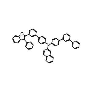 c1ccc(-c2cccc(-c3ccc(N(c4ccc(-c5cccc(-c6oc7ccccc7c6-c6ccccc6)c5)cc4)c4ccc5ccccc5c4)cc3)c2)cc1